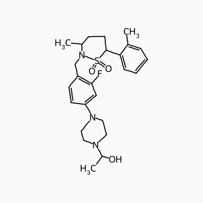 Cc1ccccc1C1CCC(C)N(Cc2ccc(N3CCN(C(C)O)CC3)cc2F)S1(=O)=O